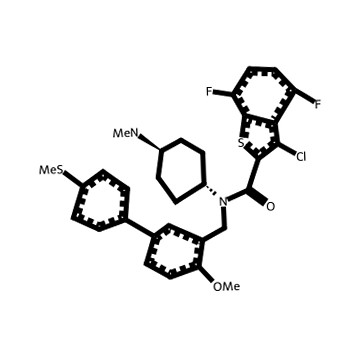 CN[C@H]1CC[C@H](N(Cc2cc(-c3ccc(SC)cc3)ccc2OC)C(=O)c2sc3c(F)ccc(F)c3c2Cl)CC1